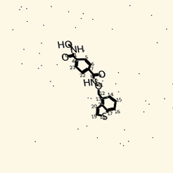 O=C(NO)c1ccc(C(=O)NOCc2cccc3sccc23)cc1